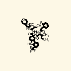 CCC(C)[C@H](NC(=O)Cc1ccccc1F)C(=O)NC1(C(=O)N[C@@H](NC(=O)CC2CCOCC2)[C@@H](C)CC)CCc2[nH]c3c(C(F)(F)F)cccc3c2C1